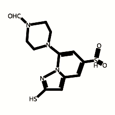 O=CN1CCN(c2cc([SH](=O)=O)cc3cc(S)nn23)CC1